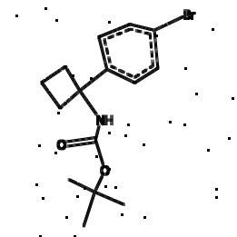 CC(C)(C)OC(=O)NC1(c2ccc(Br)cc2)CCC1